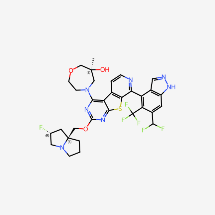 C[C@@]1(O)COCCN(c2nc(OC[C@@]34CCCN3C[C@H](F)C4)nc3sc4c(-c5c(C(F)(F)F)c(C(F)F)cc6[nH]ncc56)nccc4c23)C1